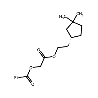 CCC(=O)OCC(=O)OCC[C@H]1CCC(C)(C)C1